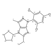 CCc1nc2c(c(C)nn2-c2c(Cl)cc(Cl)cc2Cl)n1C1CCCC1